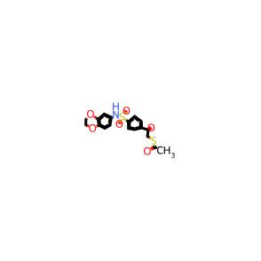 CC(=O)SCC(=O)c1ccc(S(=O)(=O)Nc2ccc3c(c2)OCCO3)cc1